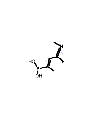 C/N=C(F)\C=C(/C)B(O)O